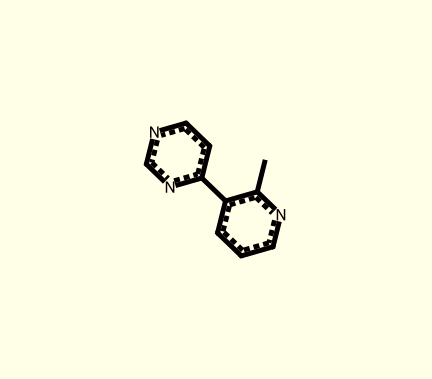 Cc1ncccc1-c1ccncn1